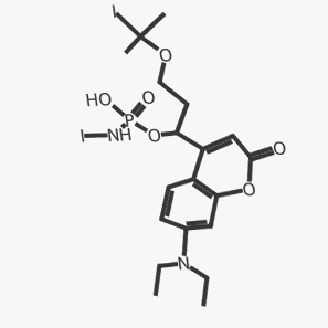 CCN(CC)c1ccc2c(C(CCOC(C)(C)I)OP(=O)(O)NI)cc(=O)oc2c1